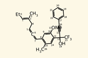 CC/C=C(\C)CC=C=Cc1cc(OC)c(C(O)(C#Cc2ccccc2)C(F)(F)F)cc1C